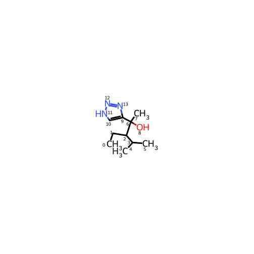 CCC(C(C)C)C(C)(O)c1c[nH]nn1